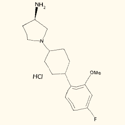 COc1cc(F)ccc1C1CCC(N2CC[C@@H](N)C2)CC1.Cl